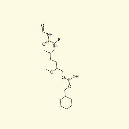 COC(CCN(C)/C=C(/F)C(=O)NC=O)COP(O)OCC1CCCCC1